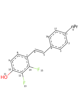 CCCc1ccc(C=Cc2ccc(O)c(F)c2F)cc1